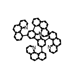 c1cnc2c(c1)ccc1cccc(-c3cc(-c4cccc5ccc6cccnc6c45)c4sc5c(-c6cccc7ccc8cccnc8c67)cc(-c6cccc7ccc8cccnc8c67)cc5c4c3)c12